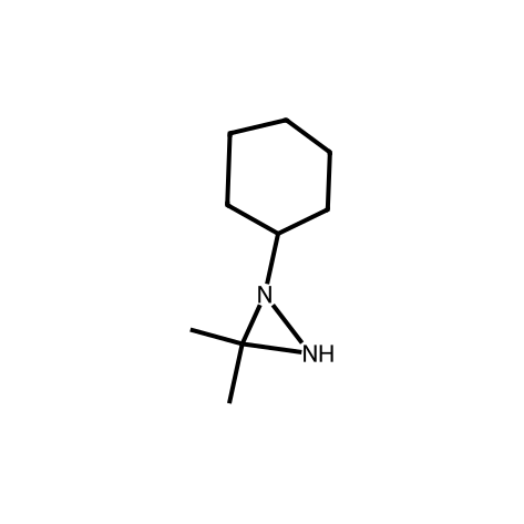 CC1(C)NN1C1CCCCC1